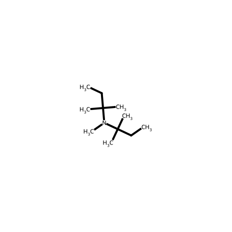 CCC(C)(C)N(C)C(C)(C)CC